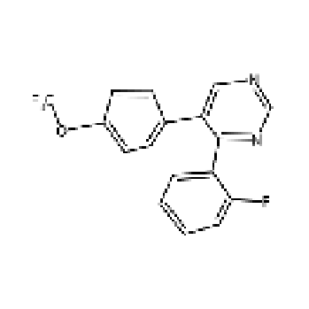 Fc1ccccc1-c1n[c]ncc1-c1ccc(OC(F)(F)F)cc1